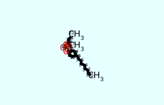 CCCCCCCCCc1ccc(OP(=O)(OC)OCCCC)cc1